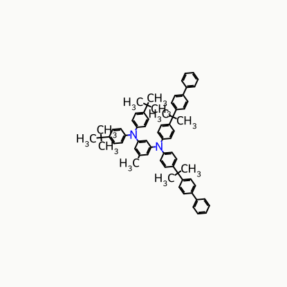 Cc1cc(N(c2ccc(C(C)(C)C)cc2)c2ccc(C(C)(C)C)cc2)cc(N(c2ccc(C(C)(C)c3ccc(-c4ccccc4)cc3)cc2)c2ccc(C(C)(C)c3ccc(-c4ccccc4)cc3)cc2)c1